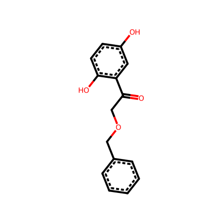 O=C(COCc1ccccc1)c1cc(O)ccc1O